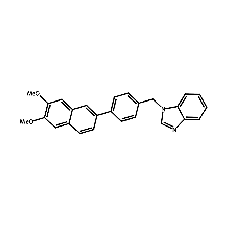 COc1cc2ccc(-c3ccc(Cn4cnc5ccccc54)cc3)cc2cc1OC